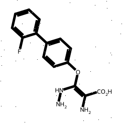 NN/C(Oc1ccc(-c2ccccc2F)cc1)=C(\N)C(=O)O